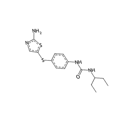 CCC(CC)NC(=O)Nc1ccc(Sc2cnc(N)s2)cc1